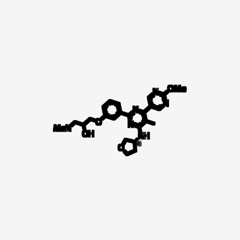 CNCC(O)COc1cccc(-c2nc(N[C@@H]3CCOC3)c(C)c(-c3cnc(OC)nc3)n2)c1